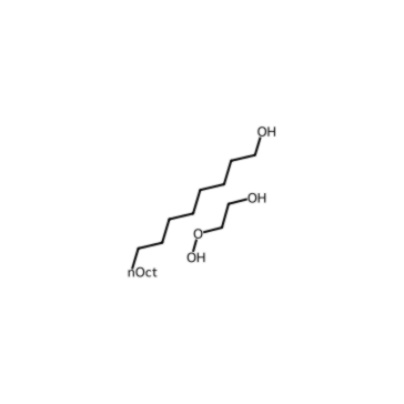 CCCCCCCCCCCCCCCCO.OCCOO